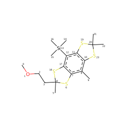 COCCC1(C)Sc2c(C)c3c(c([Si](C)(C)C)c2S1)SC(C)(C)S3